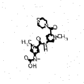 Cn1cc(NC(=O)O)cc1C(=O)Nc1cc(C(=O)N2CCSCC2)n(C)c1